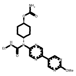 CCNC(=O)N(c1cnc(-c2cnc(OC)nc2)cn1)[C@H]1CC[C@H](OC(N)=O)CC1